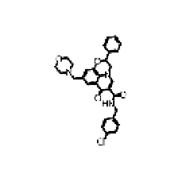 O=C(NCc1ccc(Cl)cc1)c1cn2c3c(cc(CN4CCOCC4)cc3c1=O)OC(c1ccccc1)C2